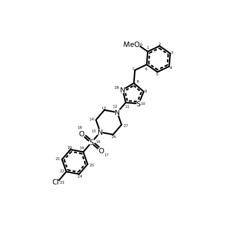 COc1ccccc1Cc1csc(N2CCN(S(=O)(=O)c3ccc(Cl)cc3)CC2)n1